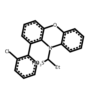 CCC(N1c2ccccc2Oc2cccc(-c3ncccc3Cl)c21)S(=O)(=O)O